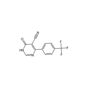 N#Cc1c(-c2ccc(C(F)(F)F)cc2)nc[nH]c1=O